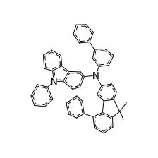 CC1(C)c2ccc(N(c3cccc(-c4ccccc4)c3)c3ccc4c(c3)c3ccccc3n4-c3ccccc3)cc2-c2c(-c3ccccc3)cccc21